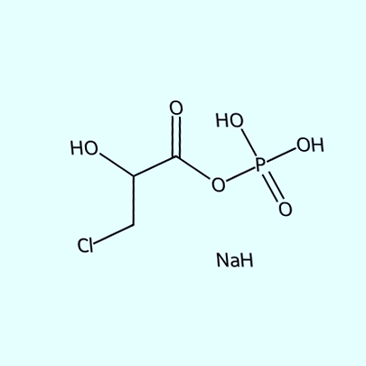 O=C(OP(=O)(O)O)C(O)CCl.[NaH]